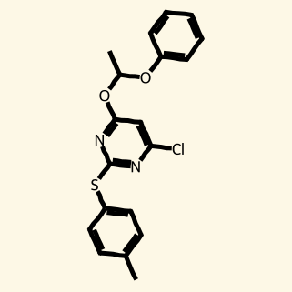 Cc1ccc(Sc2nc(Cl)cc(OC(C)Oc3ccccc3)n2)cc1